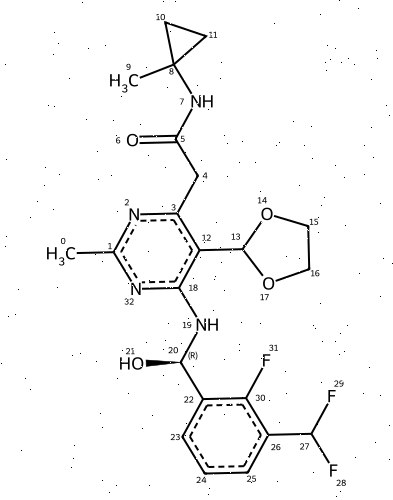 Cc1nc(CC(=O)NC2(C)CC2)c(C2OCCO2)c(N[C@H](O)c2cccc(C(F)F)c2F)n1